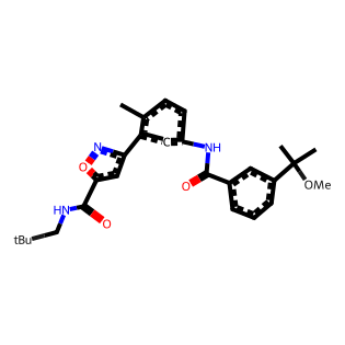 COC(C)(C)c1cccc(C(=O)Nc2ccc(C)c(-c3cc(C(=O)NCC(C)(C)C)on3)c2)c1